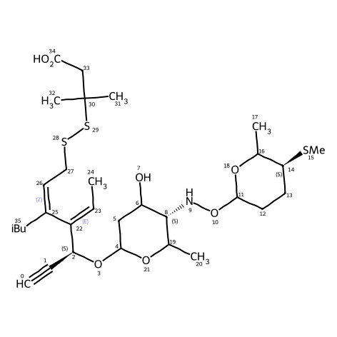 C#C[C@H](OC1CC(O)[C@H](NOC2CC[C@H](SC)C(C)O2)C(C)O1)C(=C/C)/C(=C\CSSC(C)(C)CC(=O)O)C(C)CC